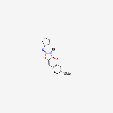 CCN1C(=O)/C(=C\c2ccc(SC)cc2)O/C1=N/C1CCCC1